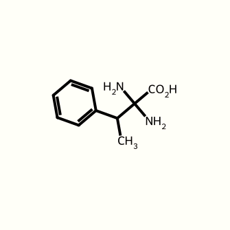 CC(c1ccccc1)C(N)(N)C(=O)O